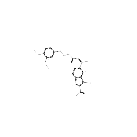 COc1ccc(CCNC(=O)/C=C(/C)c2ccc3oc(C(C)=O)c(N)c3c2)cc1OC